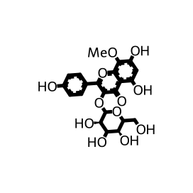 COc1c(O)cc(O)c2c(=O)c(OC3OC(CO)[C@@H](O)C(O)[C@H]3O)c(-c3ccc(O)cc3)oc12